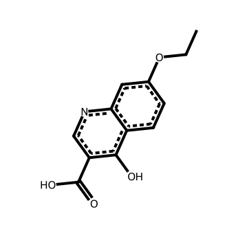 CCOc1ccc2c(O)c(C(=O)O)cnc2c1